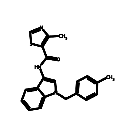 Cc1ccc(Cn2cc(NC(=O)c3scnc3C)c3ccccc32)cc1